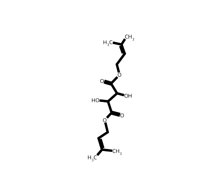 CC(C)=CCOC(=O)C(O)C(O)C(=O)OCC=C(C)C